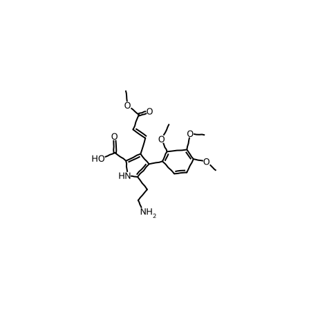 COC(=O)C=Cc1c(C(=O)O)[nH]c(CCN)c1-c1ccc(OC)c(OC)c1OC